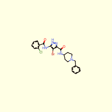 O=C(Nc1[nH]nc(C(=O)NC2CCN(Cc3ccccc3)CC2)c1Br)c1ccccc1Cl